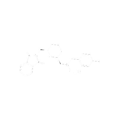 CCOC(=O)N(Cc1ccc(F)cc1)C[C@@H]1CCC[C@H](CN2C(=O)c3ccccc3C2=O)O1